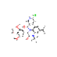 COc1cc(C(C(=O)NC(C)(C)C)N(C(=O)c2ccc(Cl)nc2)c2ccc(C(C)C)cc2)cc(OC)c1OC